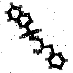 N[C@H](CNS(=O)(=O)c1ccc2cnccc2c1)Cc1ccccc1